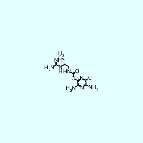 CC[C@H](CNC(=O)Oc1nc(Cl)c(N)nc1N)NC(=N)N